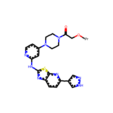 CC(C)OCC(=O)N1CCN(c2ccnc(Nc3nc4ccc(-c5cn[nH]c5)nc4s3)c2)CC1